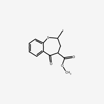 COC(=O)C1CC(I)Sc2ccccc2C1=O